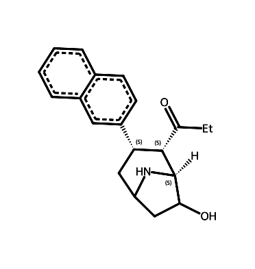 CCC(=O)[C@H]1[C@@H](c2ccc3ccccc3c2)CC2CC(O)[C@H]1N2